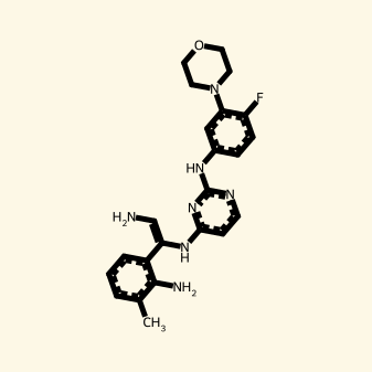 Cc1cccc(/C(=C\N)Nc2ccnc(Nc3ccc(F)c(N4CCOCC4)c3)n2)c1N